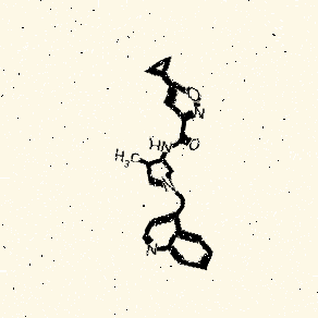 CC1CN(Cc2ccnc3ccccc23)CC1NC(=O)c1cc(C2CC2)on1